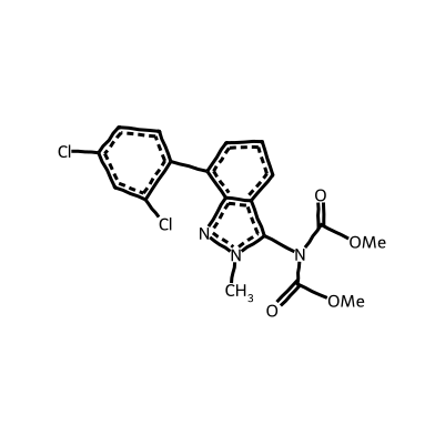 COC(=O)N(C(=O)OC)c1c2cccc(-c3ccc(Cl)cc3Cl)c2nn1C